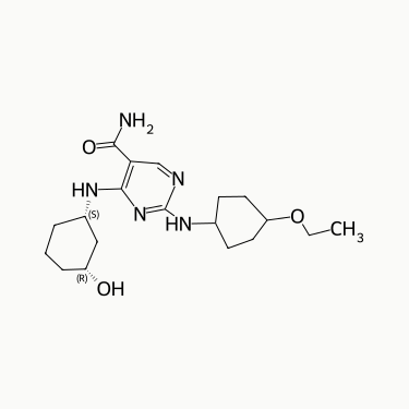 CCOC1CCC(Nc2ncc(C(N)=O)c(N[C@H]3CCC[C@@H](O)C3)n2)CC1